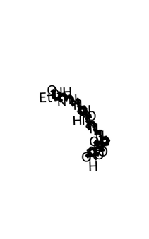 CCc1cc2ncc(CN3CCN(c4ccc(C(=O)NC5CCN(C6CN(c7cccc8c7C(=O)N(C7CCC(=O)NC7=O)C8=O)C6)CC5)nc4)CC3)cc2[nH]c1=O